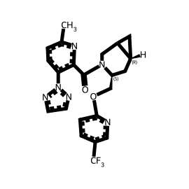 Cc1ccc(-n2nccn2)c(C(=O)N2CC3C[C@@H]3C[C@H]2COc2ccc(C(F)(F)F)cn2)n1